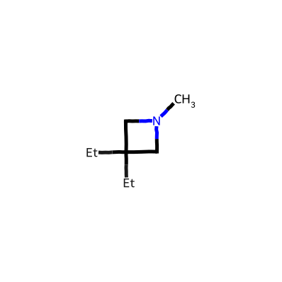 CCC1(CC)CN(C)C1